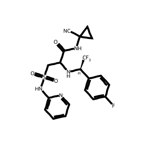 N#CC1(NC(=O)C(CS(=O)(=O)Nc2ccccn2)N[C@H](c2ccc(F)cc2)C(F)(F)F)CC1